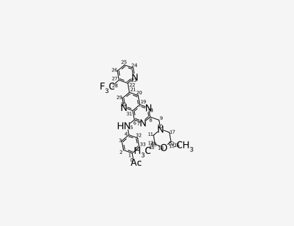 CC(=O)c1ccc(Nc2nc(CN3C[C@@H](C)O[C@@H](C)C3)nc3cc(-c4ncccc4C(F)(F)F)cnc23)cc1